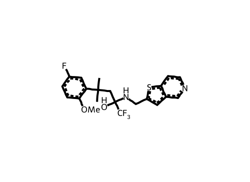 COc1ccc(F)cc1C(C)(C)CC(O)(NCc1cc2cnccc2s1)C(F)(F)F